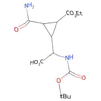 CCOC(=O)C1C(C(N)=O)C1C(NC(=O)OC(C)(C)C)C(=O)O